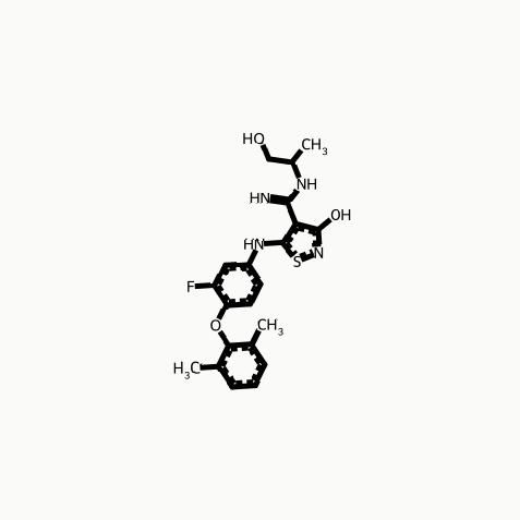 Cc1cccc(C)c1Oc1ccc(Nc2snc(O)c2C(=N)NC(C)CO)cc1F